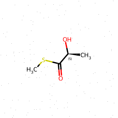 CSC(=O)[C@H](C)O